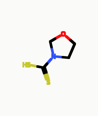 S=C(S)N1CCOC1